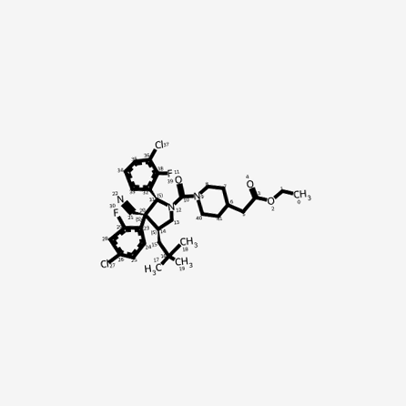 CCOC(=O)CC1CCN(C(=O)N2C[C@@H](CC(C)(C)C)[C@](C#N)(c3ccc(Cl)cc3F)[C@H]2c2cccc(Cl)c2F)CC1